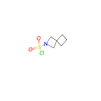 O=S(=O)(Cl)N1CC2(CCC2)C1